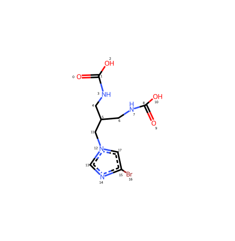 O=C(O)NCC(CNC(=O)O)Cn1cnc(Br)c1